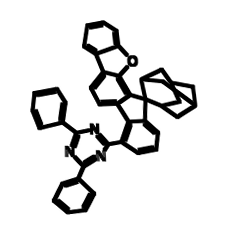 c1ccc(-c2nc(-c3ccccc3)nc(-c3cccc4c3-c3ccc5c(oc6ccccc65)c3C43C4CC5CC(C4)CC3C5)n2)cc1